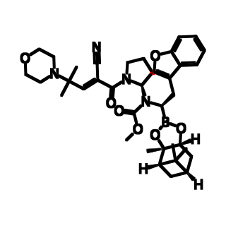 COC(=O)N([C@@H]1CCCN1C(=O)C(C#N)=CC(C)(C)N1CCOCC1)[C@@H](Cc1coc2ccccc12)B1O[C@@H]2C[C@@H]3C[C@@H](C3(C)C)[C@]2(C)O1